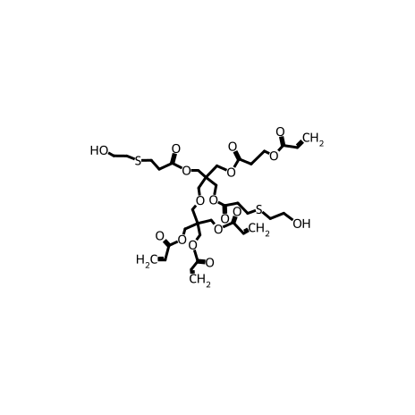 C=CC(=O)OCCC(=O)OCC(COCC(COC(=O)C=C)(COC(=O)C=C)COC(=O)C=C)(COC(=O)CCSCCO)COC(=O)CCSCCO